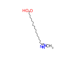 Cn1cc(CCCCCCCCCCCCCCCCCC(=O)O)nn1